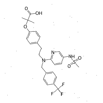 CC(C)(Oc1ccc(CCN(Cc2ccc(C(F)(F)F)cc2)c2ccc(NS(C)(=O)=O)cn2)cc1)C(=O)O